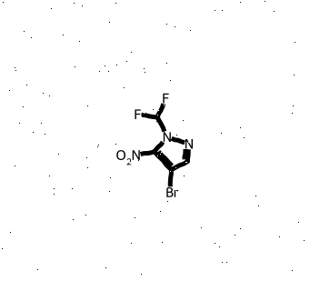 O=[N+]([O-])c1c(Br)cnn1C(F)F